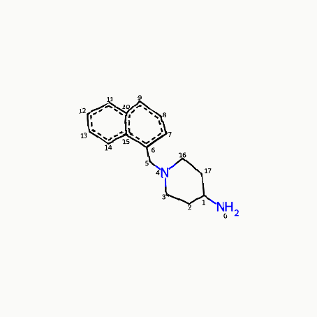 NC1CCN(Cc2cccc3ccccc23)CC1